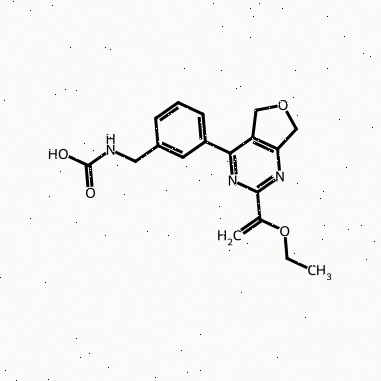 C=C(OCC)c1nc2c(c(-c3cccc(CNC(=O)O)c3)n1)COC2